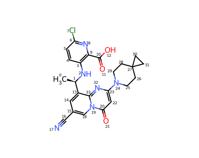 C[C@@H](Nc1ccc(Cl)nc1C(=O)O)c1cc(C#N)cn2c(=O)cc(N3CCC4(CC3)CC4)nc12